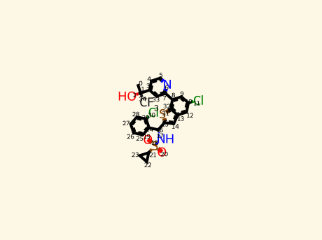 CC(O)(c1ccnc(-c2cc(Cl)cc3cc([C@H](NS(=O)(=O)C4CC4)c4ccccc4Cl)sc23)c1)C(F)(F)F